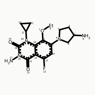 CCOc1c(N2CCC(N)C2)cc(F)c2c(=O)n(N)c(=O)n(C3CC3)c12